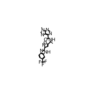 C[C@H](NC(=O)c1ncnc2c1ncn2C)c1cc(-c2nc3ccc(C(F)(F)F)cc3[nH]2)no1